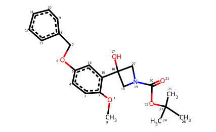 COc1ccc(OCc2ccccc2)cc1C1(O)CN(C(=O)OC(C)(C)C)C1